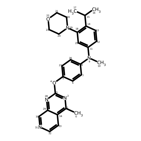 Cc1nc(Oc2ccc(N(C)c3ccc(C(C)C)c(N4CCOCC4)c3)cc2)nc2cnccc12